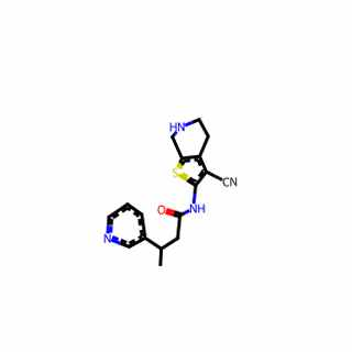 CC(CC(=O)Nc1sc2c(c1C#N)CCNC2)c1cccnc1